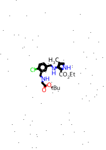 CCOC(=O)c1[nH]cc(C)c1NCc1ccc(Cl)c(CNCC(=O)OC(C)(C)C)c1